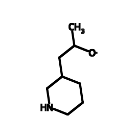 CC([O])CC1CCCNC1